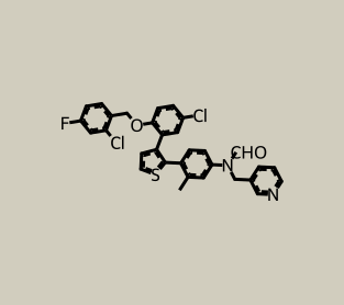 Cc1cc(N(C=O)Cc2cccnc2)ccc1-c1sccc1-c1cc(Cl)ccc1OCc1ccc(F)cc1Cl